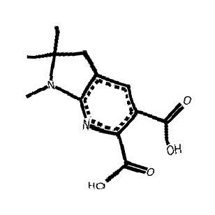 CN1c2nc(C(=O)O)c(C(=O)O)cc2CC1(C)C